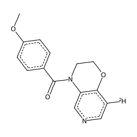 [2H]c1cncc2c1OCCN2C(=O)c1ccc(OC)cc1